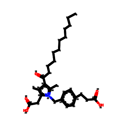 CCCCCCCCCCCC(=O)c1c(C)c(CC(=O)O)n(Cc2ccc(CCC(=O)O)cc2)c1C